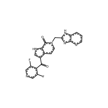 O=C(c1c(F)cncc1F)c1c[nH]c2c(=O)n(Cc3nc4ncccc4[nH]3)ccc12